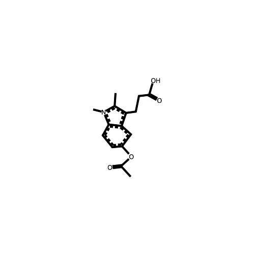 CC(=O)Oc1ccc2c(c1)c(CCC(=O)O)c(C)n2C